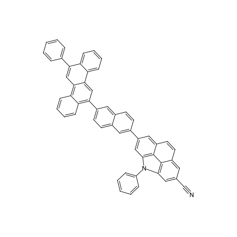 N#Cc1cc2ccc3cc(-c4ccc5cc(-c6cc7c8ccccc8c(-c8ccccc8)cc7c7ccccc67)ccc5c4)cc4c3c2c(c1)n4-c1ccccc1